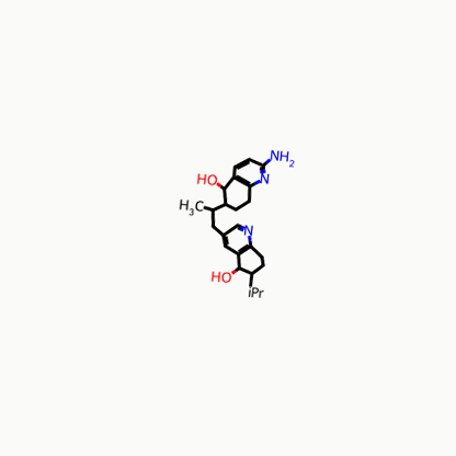 CC(C)C1CCc2ncc(CC(C)C3CCc4nc(N)ccc4C3O)cc2C1O